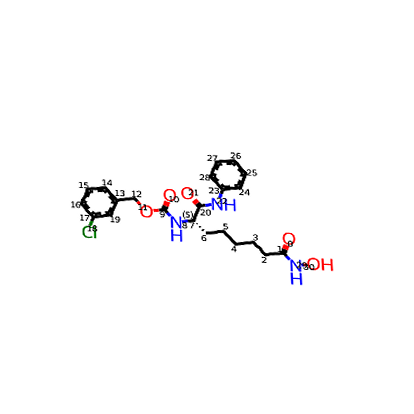 O=C(CCCCC[C@H](NC(=O)OCc1cccc(Cl)c1)C(=O)Nc1ccccc1)NO